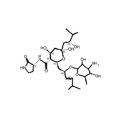 CC(C)/C=C/[C@@H](C[C@@H]1O[C@](O)(C[C@@H](O)C(C)C)C[C@H](O)[C@H]1C(=O)N[C@@H]1CCNC1=O)OC1OC(C)C(O)C(N)C1O